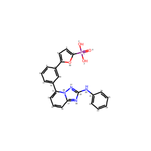 O=P(O)(O)c1ccc(-c2cccc(-c3cccc4nc(Nc5ccccc5)nn34)c2)o1